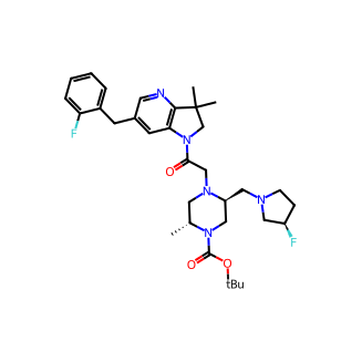 C[C@@H]1CN(CC(=O)N2CC(C)(C)c3ncc(Cc4ccccc4F)cc32)[C@@H](CN2CC[C@@H](F)C2)CN1C(=O)OC(C)(C)C